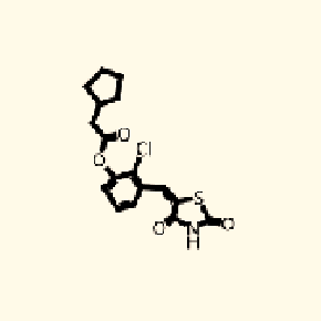 O=C(CC1CCCC1)Oc1cccc(C=C2SC(=O)NC2=O)c1Cl